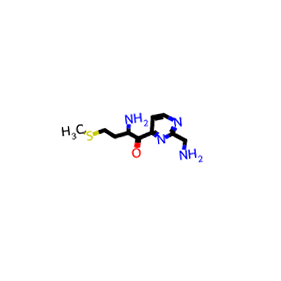 CSCCC(N)C(=O)c1ccnc(CN)n1